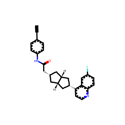 C#Cc1ccc(NC(=O)C[C@@H]2C[C@@H]3C[C@H](c4ccnc5ccc(F)cc45)C[C@@H]3C2)cc1